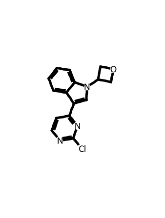 Clc1nccc(-c2cn(C3COC3)c3ccccc23)n1